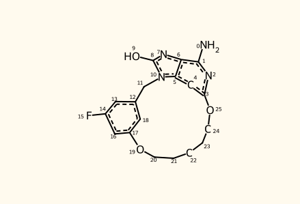 Nc1nc2cc3c1nc(O)n3Cc1cc(F)cc(c1)OCCCCCO2